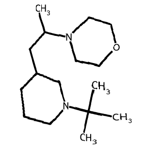 CC(CC1CCCN(C(C)(C)C)C1)N1CCOCC1